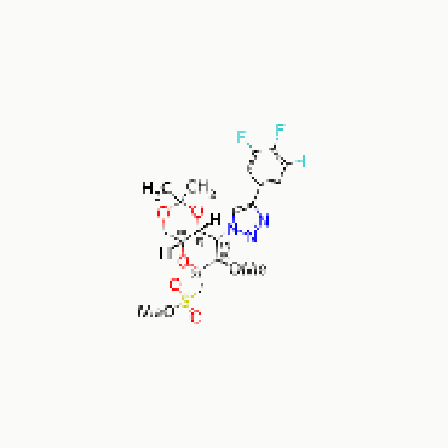 CO[C@@H]1[C@@H](n2cc(-c3cc(F)c(F)c(F)c3)nn2)[C@H]2OC(C)(C)OC[C@H]2O[C@H]1CS(=O)(=O)OC